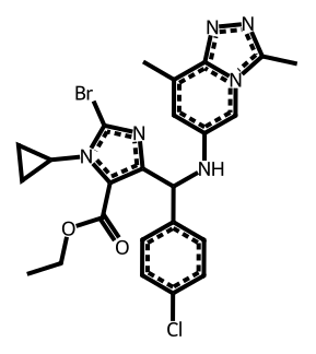 CCOC(=O)c1c(C(Nc2cc(C)c3nnc(C)n3c2)c2ccc(Cl)cc2)nc(Br)n1C1CC1